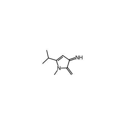 C=C1C(=N)C=C(C(C)C)N1C